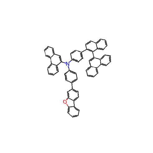 c1ccc2c(-c3cc4ccccc4c4ccccc34)c(-c3ccc(N(c4ccc(-c5ccc6c(c5)oc5ccccc56)cc4)c4cc5ccccc5c5ccccc45)cc3)ccc2c1